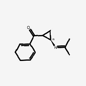 CC(C)=N[C@@H]1CC1C(=O)C1=CCCC=C1